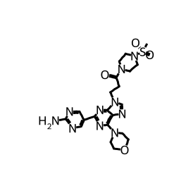 CS(=O)(=O)N1CCN(C(=O)CCn2cnc3c(N4CCOCC4)nc(-c4cnc(N)nc4)nc32)CC1